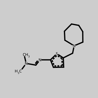 CN(C)/C=N/c1ccc(CN2CCCCCC2)s1